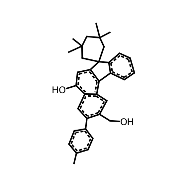 Cc1ccc(-c2cc3c(O)cc4c(c3cc2CO)-c2ccccc2C42CC(C)(C)CC(C)(C)C2)cc1